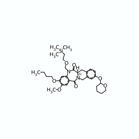 CCCCOc1cc2c(cc1OC)C(=O)N1Cc3cc(OC4CCCCO4)ccc3C[C@H]1C(=O)N2COCC[Si](C)(C)C